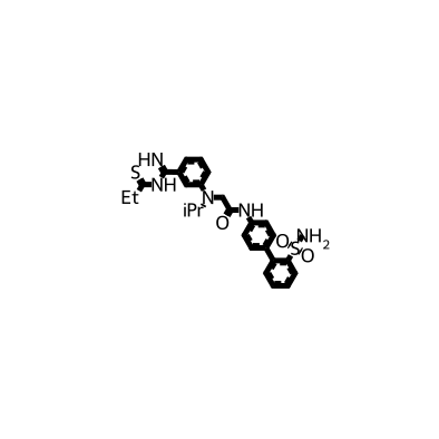 CCC(=S)NC(=N)c1cccc(N(CC(=O)Nc2ccc(-c3ccccc3S(N)(=O)=O)cc2)C(C)C)c1